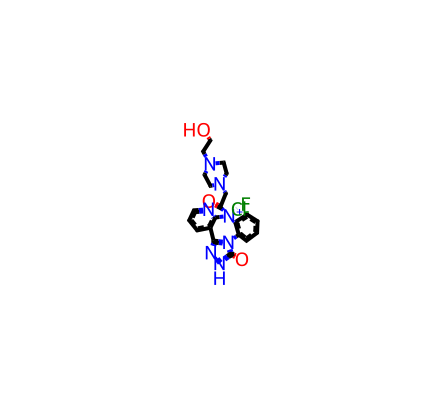 O=C(CN1CCN(CCO)CC1)[N+]1(Cl)c2ncccc2-c2n[nH]c(=O)n2-c2cccc(F)c21